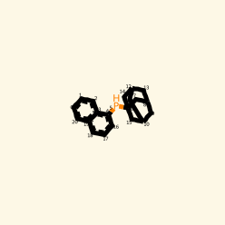 c1ccc2c(PC34CC5CC(CC(C5)C3)C4)cccc2c1